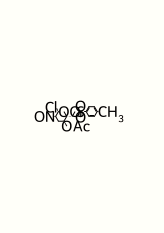 CC(=O)O[C@H]1C[C@H](N=O)[C@@H](Cl)O[C@@H]1COS(=O)(=O)c1ccc(C)cc1